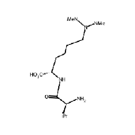 CNN(CCCC[C@H](NC(=O)[C@@H](N)C(C)C)C(=O)O)NC